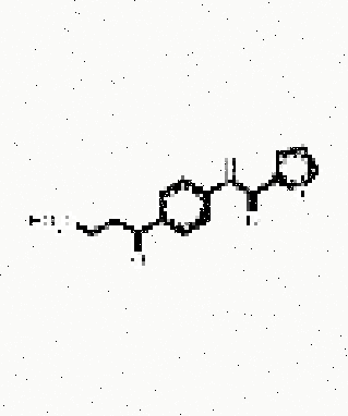 O=C(O)CCC(=O)c1ccc(NC(=O)c2cccs2)cc1